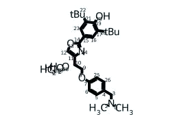 CN(C)Cc1ccc(OCCc2coc(-c3cc(C(C)(C)C)c(O)c(C(C)(C)C)c3)n2)cc1.Cl.O.O